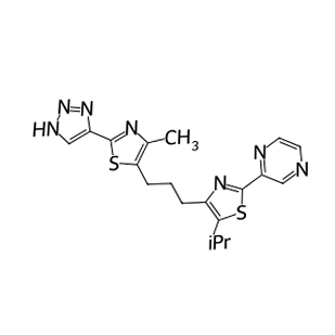 Cc1nc(-c2c[nH]nn2)sc1CCCc1nc(-c2cnccn2)sc1C(C)C